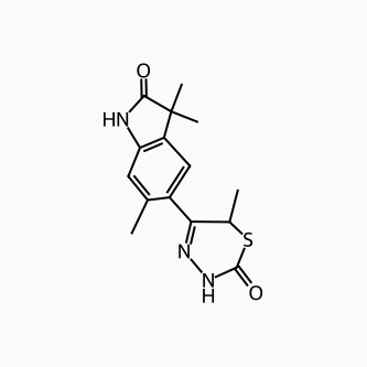 Cc1cc2c(cc1C1=NNC(=O)SC1C)C(C)(C)C(=O)N2